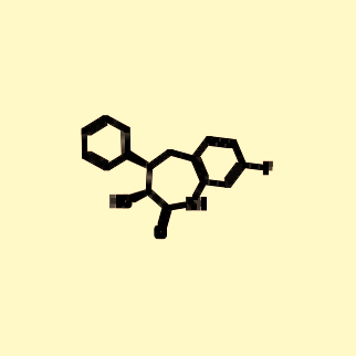 O=C1Nc2cc(F)ccc2C[C@H](c2ccccc2)[C@@H]1O